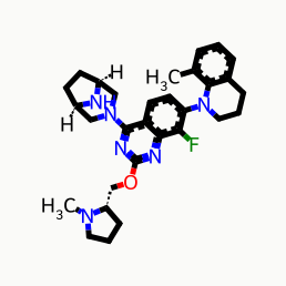 Cc1cccc2c1N(c1ccc3c(N4C[C@H]5CC[C@@H](C4)N5)nc(OC[C@@H]4CCCN4C)nc3c1F)CCC2